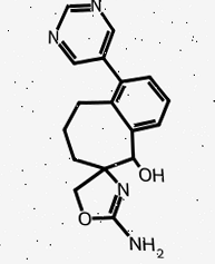 NC1=NC2(CCCc3c(-c4cncnc4)cccc3C2O)CO1